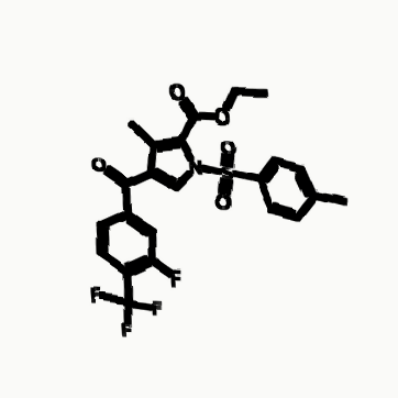 CCOC(=O)c1c(C)c(C(=O)c2ccc(C(F)(F)F)c(F)c2)cn1S(=O)(=O)c1ccc(C)cc1